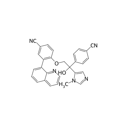 Cn1cncc1C(O)(COc1ccc(C#N)cc1-c1cccc2cccnc12)c1ccc(C#N)cc1